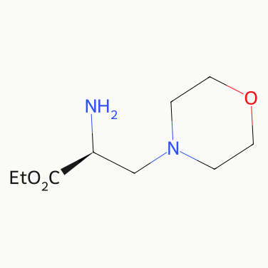 CCOC(=O)[C@@H](N)CN1CCOCC1